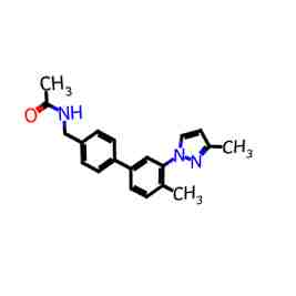 CC(=O)NCc1ccc(-c2ccc(C)c(-n3ccc(C)n3)c2)cc1